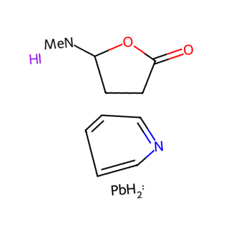 CNC1CCC(=O)O1.I.[PbH2].c1ccncc1